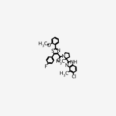 COc1ccccc1-c1nc(C(=O)N2CCCC2(C)c2nc3c(C)c(Cl)ccc3[nH]2)c(-c2ccc(F)cc2)s1